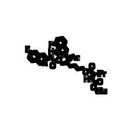 CC(=O)N(NCc1cccc(F)c1Cl)[C@@H](CCCCOC(=O)[C@H](NC(=O)OC(C)(C)C)C(C)C)COC(=O)Nc1cc2cc(F)ccc2cn1